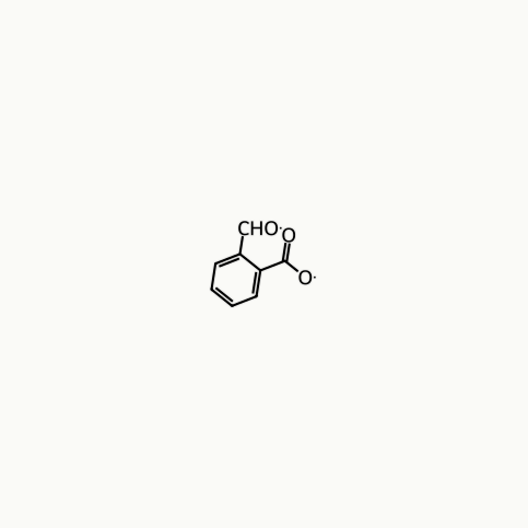 [O]C(=O)c1ccccc1[C]=O